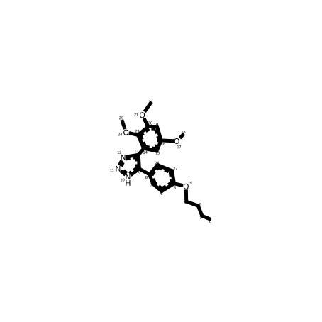 CCCCOc1ccc(-c2[nH]nnc2-c2cc(OC)cc(OC)c2OC)cc1